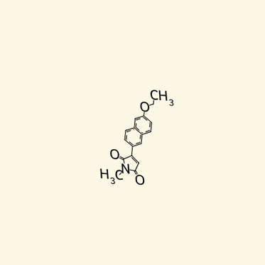 CCOc1ccc2cc(C3=CC(=O)N(C)C3=O)ccc2c1